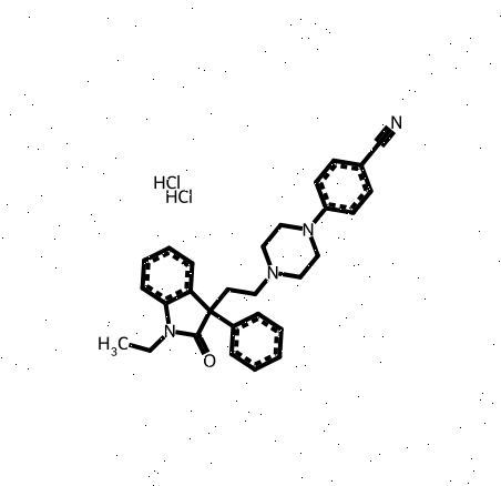 CCN1C(=O)C(CCN2CCN(c3ccc(C#N)cc3)CC2)(c2ccccc2)c2ccccc21.Cl.Cl